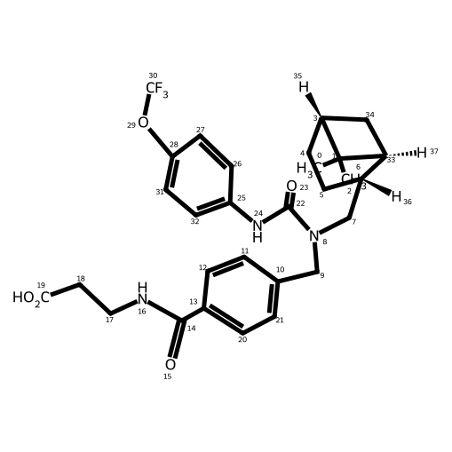 CC1(C)[C@@H]2CC[C@@H](CN(Cc3ccc(C(=O)NCCC(=O)O)cc3)C(=O)Nc3ccc(OC(F)(F)F)cc3)[C@@H]1C2